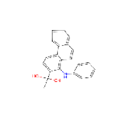 CC(O)(O)c1ccc2c(ccc3ccccc32)c1Nc1ccccc1